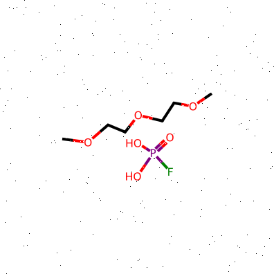 COCCOCCOC.O=P(O)(O)F